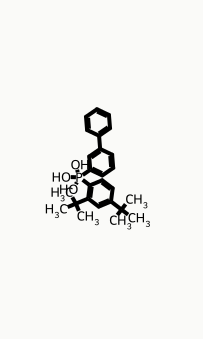 CC(C)(C)c1ccc(P(O)(O)(O)c2cccc(-c3ccccc3)c2)c(C(C)(C)C)c1